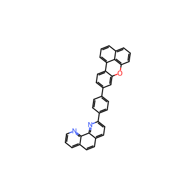 c1cc2c3c(cccc3c1)-c1ccc(-c3ccc(-c4ccc5ccc6cccnc6c5n4)cc3)cc1O2